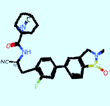 CN1Cc2cc(-c3ccc(C[C@@H](C#N)NC(=O)C45CCC(CC4)CN5)c(F)c3)ccc2[S+]1[O-]